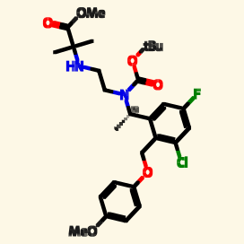 COC(=O)C(C)(C)NCCN(C(=O)OC(C)(C)C)[C@@H](C)c1cc(F)cc(Cl)c1COc1ccc(OC)cc1